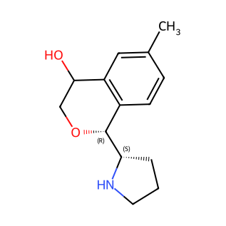 Cc1ccc2c(c1)C(O)CO[C@H]2[C@@H]1CCCN1